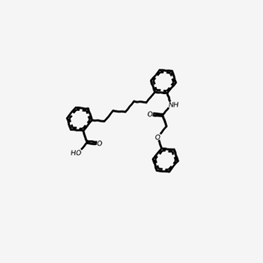 O=C(COc1ccccc1)Nc1ccccc1CCCCCc1ccccc1C(=O)O